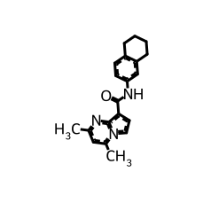 Cc1cc(C)n2ccc(C(=O)Nc3ccc4c(c3)CCCC4)c2n1